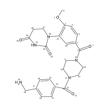 COc1ccc(C(=O)N2CCN(C(=O)c3ccc(CN)cc3)CC2)cc1N1CCC(=O)NC1=O